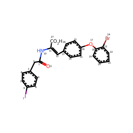 O=C(Cc1ccc(I)cc1)NC(=Cc1ccc(Oc2ccccc2Br)cc1)C(=O)O